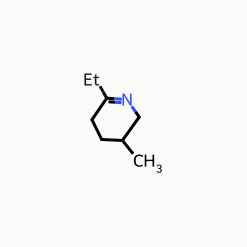 CCC1=NCC(C)CC1